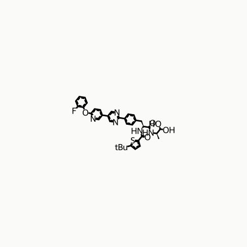 C[C@@H](NC(=O)[C@H](Cc1ccc(-c2ncc(-c3ccc(Oc4ccccc4F)nc3)cn2)cc1)NC(=O)c1ccc(C(C)(C)C)s1)C(O)O